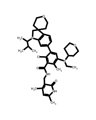 CCN(c1cc(-c2ccc3c(c2)N(C(C)C(C)C)CC32CCOCC2)c(Cl)c(C(=O)NCc2c(C)cc(C)[nH]c2=O)c1C)C1CCOCC1